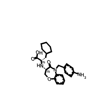 Nc1ccc(CN2C(=O)[C@@H](N[C@@H](CC3CCCCC3)C(=O)O)COc3ccccc32)cc1